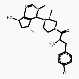 C[C@@H]1C[C@@H](O)C2=C1C(N1CCN(C(=O)[C@H](N)Cc3ccc(Cl)cc3)C[C@@H]1C)N(C)C=N2